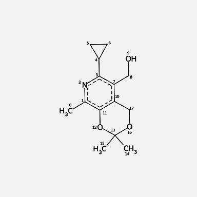 Cc1nc(C2CC2)c(CO)c2c1OC(C)(C)OC2